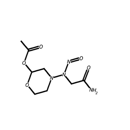 CC(=O)OC1CN(N(CC(N)=O)N=O)CCO1